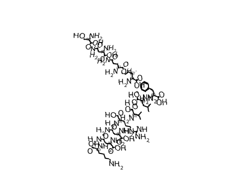 CC(C)C[C@H](N)C(=O)O.CC(C)[C@H](N)C(=O)O.CC[C@H](C)[C@H](N)C(=O)O.N=C(N)NCCC[C@H](N)C(=O)O.NC(=O)CC[C@H](N)C(=O)O.NC(=O)C[C@H](N)C(=O)O.NC(=O)C[C@H](N)C(=O)O.NC(=O)C[C@H](N)C(=O)O.NCCCC[C@H](N)C(=O)O.N[C@@H](CO)C(=O)O.N[C@@H](Cc1ccccc1)C(=O)O